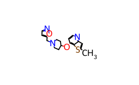 Cc1cc2nccc(OC3CCN(Cc4ccno4)CC3)c2s1